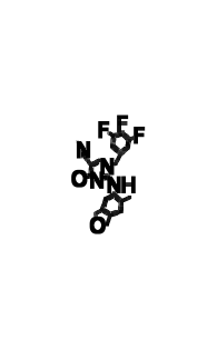 C/N=C/c1cn(Cc2cc(F)c(F)c(F)c2)c(Nc2cc3c(cc2C)COC3)nc1=O